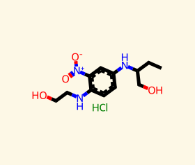 CCC(CO)Nc1ccc(NCCO)c([N+](=O)[O-])c1.Cl